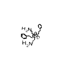 NCCCC(C(=O)NCCCc1ccccc1)N(CCc1ccccc1)C(=O)CCN